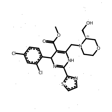 COC(=O)C1=C(CN2CCOC[C@@H]2CO)NC(c2nccs2)=NC1c1ccc(Cl)cc1Cl